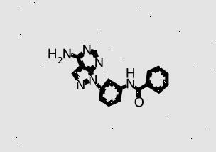 Nc1ncnc2c1cnn2-c1cccc(NC(=O)c2ccccc2)c1